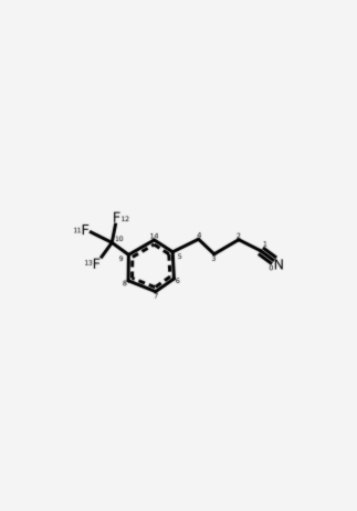 N#CCCCc1cccc(C(F)(F)F)c1